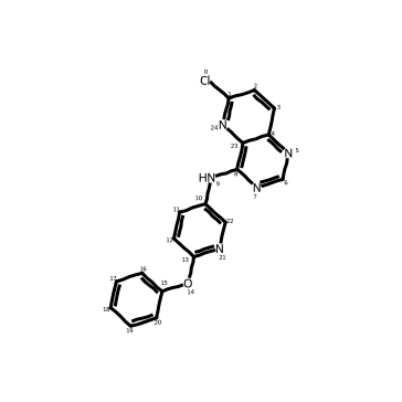 Clc1ccc2ncnc(Nc3ccc(Oc4ccccc4)nc3)c2n1